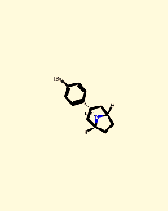 CN1[C@@H]2CC[C@H]1C[C@@H](c1ccc(C(C)(C)C)cc1)C2